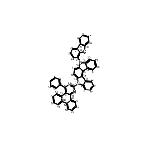 c1ccc(-c2nc(-n3c4ccccc4c4c5c6ccccc6n(-c6cccc7c6oc6ccccc67)c5ccc43)nc3c4ccccc4c4ccccc4c23)cc1